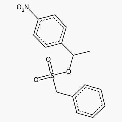 CC(OS(=O)(=O)Cc1ccccc1)c1ccc([N+](=O)[O-])cc1